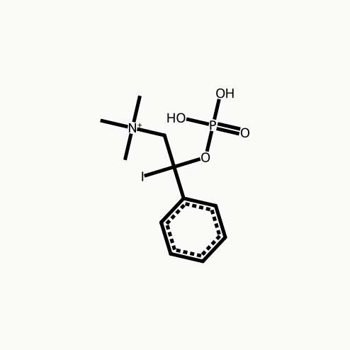 C[N+](C)(C)CC(I)(OP(=O)(O)O)c1ccccc1